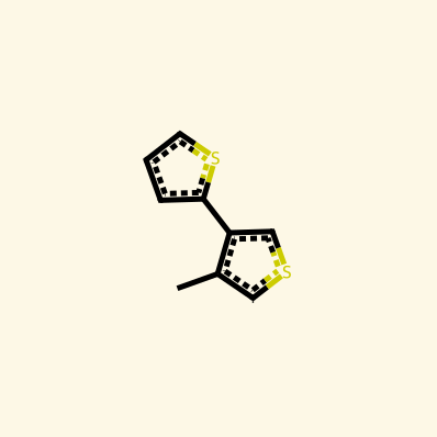 Cc1[c]scc1-c1cccs1